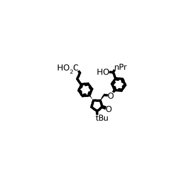 CCCC(O)c1cccc(OC[C@H]2C(=O)C(C(C)(C)C)C[C@@H]2c2ccc(CCC(=O)O)cc2)c1